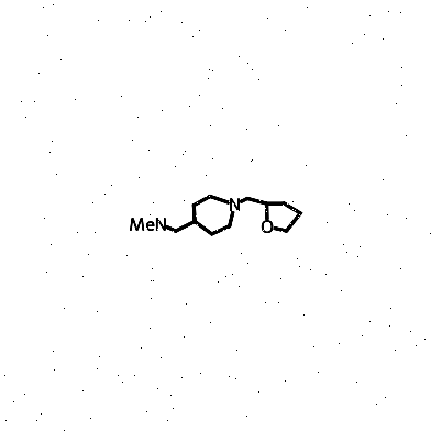 CNCC1CCN(CC2CCCO2)CC1